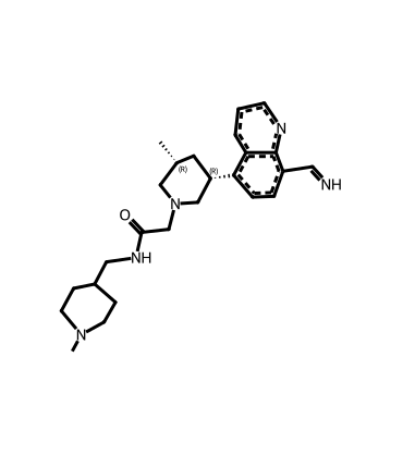 C[C@@H]1C[C@H](c2ccc(C=N)c3ncccc23)CN(CC(=O)NCC2CCN(C)CC2)C1